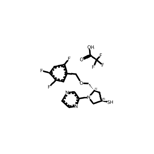 Fc1cc(F)c(COC[C@@H]2C[C@@H](S)CN2c2cnccn2)cc1F.O=C(O)C(F)(F)F